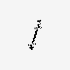 CC(C)OCC(=O)NCCCCCCCCNC(=O)C(C)(C)C